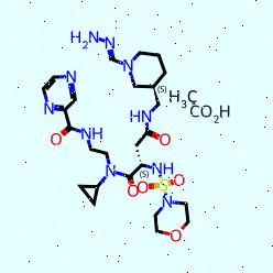 CC(=O)O.NN=CN1CCC[C@@H](CNC(=O)C[C@H](NS(=O)(=O)N2CCOCC2)C(=O)N(CCNC(=O)c2cnccn2)C2CC2)C1